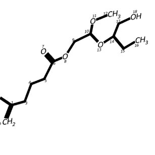 C=C(O)CCCC(=O)OCC(OC)OC(CC)CO